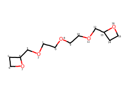 C(COCC1CCO1)OCCOCC1CCO1